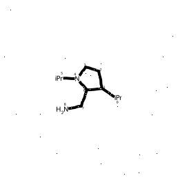 CC(C)C1CCN(C(C)C)C1CN